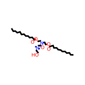 CCCCCCCCCCCC(=O)OCCN(CCOC(=O)CCCCCCCCCCC)C(=O)C[N+](C)(C)CCO